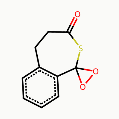 O=C1CCc2ccccc2C2(OO2)S1